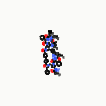 CN[C@@H](C)C(=O)N[C@H](C(=O)N1C[C@@H](NC(C)=O)C[C@H]1CN(CCc1ccccc1)C(=O)c1ccc(-c2ccc(C(=O)N(CCc3ccccc3)C[C@@H]3C[C@H](NC(C)=O)CN3C(=O)[C@@H](NC(=O)[C@H](C)NC)C3CCCCC3)cc2)cc1)C1CCCCC1